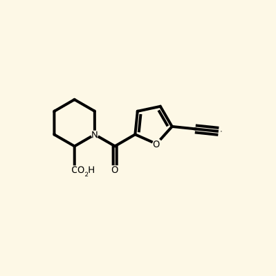 [C]#Cc1ccc(C(=O)N2CCCCC2C(=O)O)o1